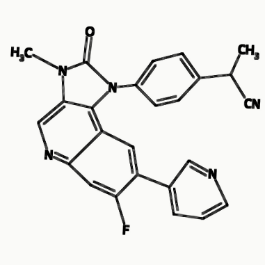 CC(C#N)c1ccc(-n2c(=O)n(C)c3cnc4cc(F)c(-c5cccnc5)cc4c32)cc1